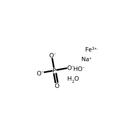 O.O=P([O-])([O-])[O-].[Fe+3].[Na+].[OH-]